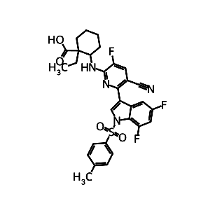 CCC1(C(=O)O)CCCCC1Nc1nc(-c2cn(S(=O)(=O)c3ccc(C)cc3)c3c(F)cc(F)cc23)c(C#N)cc1F